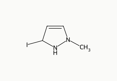 CN1C=CC(I)N1